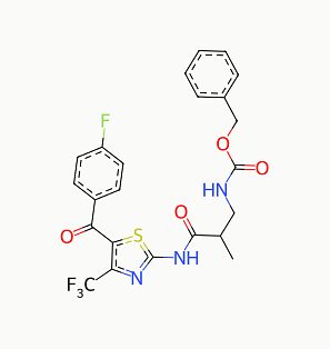 CC(CNC(=O)OCc1ccccc1)C(=O)Nc1nc(C(F)(F)F)c(C(=O)c2ccc(F)cc2)s1